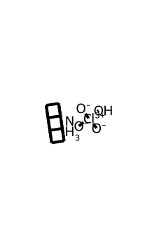 C12C3C4C1C1C2C3C41.N.[O-][Cl+3]([O-])([O-])O